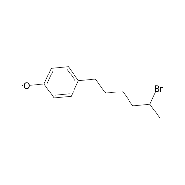 CC(Br)CCCCc1ccc([O])cc1